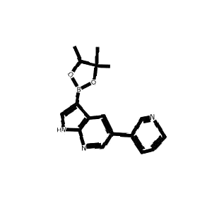 CC1OB(c2c[nH]c3ncc(-c4cccnc4)cc23)OC1(C)C